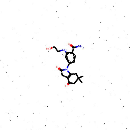 CC1(C)CC(=O)C2=C(C1)N(c1ccc(C(N)=O)c(NCCO)c1)C(=O)C2